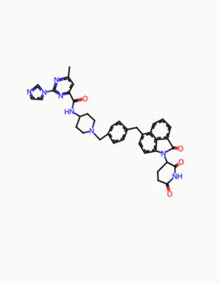 Cc1cc(C(=O)NC2CCN(Cc3ccc(Cc4ccc5c6c(cccc46)C(=O)N5C4CCC(=O)NC4=O)cc3)CC2)nc(-n2ccnc2)n1